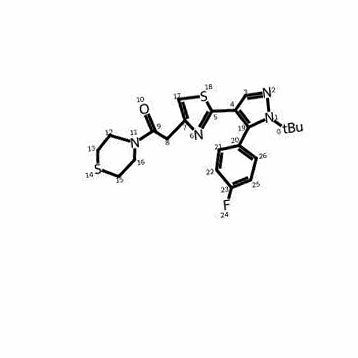 CC(C)(C)n1ncc(-c2nc(CC(=O)N3CCSCC3)cs2)c1-c1ccc(F)cc1